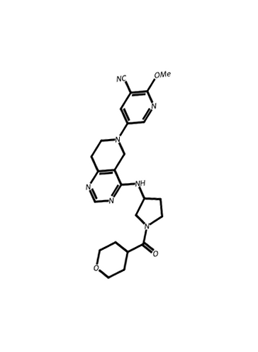 COc1ncc(N2CCc3ncnc(NC4CCN(C(=O)C5CCOCC5)C4)c3C2)cc1C#N